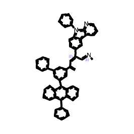 C=C(/C=C(\C=N\C)c1ccc2c(c1)c1cccnc1n2-c1ccccc1)c1cc(-c2ccccc2)cc(-c2c3ccccc3c(-c3ccccc3)c3ccccc23)c1